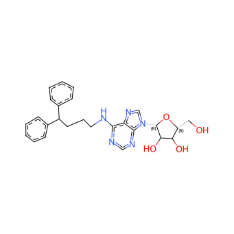 OC[C@H]1O[C@@H](n2cnc3c(NCCCC(c4ccccc4)c4ccccc4)ncnc32)C(O)C1O